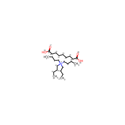 CCCC[N+](CCCC)(CCCC)CCCC.O=C(O)CCCCCCCC(=O)O